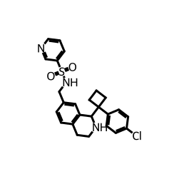 O=S(=O)(NCc1ccc2c(c1)C(C1(c3ccc(Cl)cc3)CCC1)NCC2)c1cccnc1